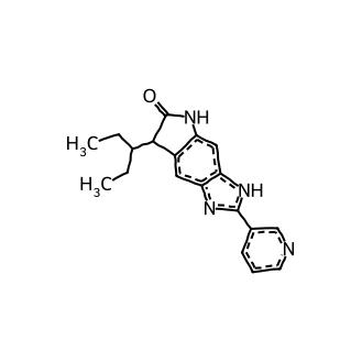 CCC(CC)C1C(=O)Nc2cc3[nH]c(-c4cccnc4)nc3cc21